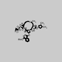 COc1nnc(O[C@@H]2C[C@H]3C(=O)N[C@]4(C(=O)NS(=O)(=O)C5(C)CC5)C[C@H]4/C=C\CC[C@H](C)C[C@@H](C)[C@H](NC(=O)O[C@H]4C[C@@H](C)[C@@H](C)C4)C(=O)N3C2)c2ccccc12